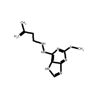 C=C(C)CCNNc1nc(SC)nc2nc[nH]c12